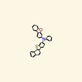 c1ccc(N(c2ccc3c(c2)oc2ccccc23)c2ccc3c(c2)sc2c4ccccc4ccc32)cc1